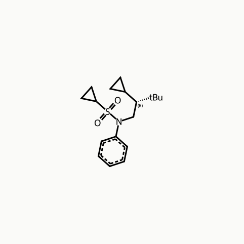 CC(C)(C)[C@H](CN(c1ccccc1)S(=O)(=O)C1CC1)C1CC1